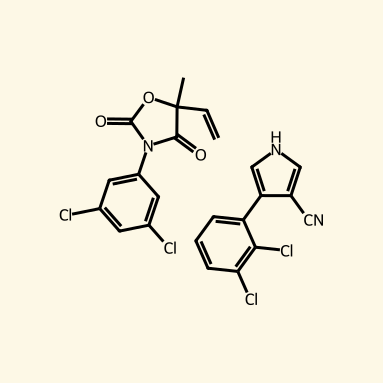 C=CC1(C)OC(=O)N(c2cc(Cl)cc(Cl)c2)C1=O.N#Cc1c[nH]cc1-c1cccc(Cl)c1Cl